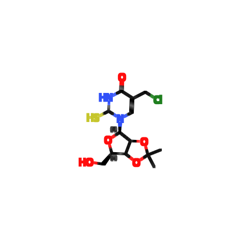 CC1(C)OC2C(O1)[C@@H](CO)O[C@H]2N1C=C(CCl)C(=O)NC1S